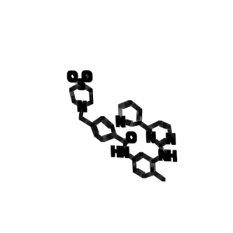 Cc1ccc(NC(=O)c2ccc(CN3CCS(=O)(=O)CC3)cc2)cc1Nc1nccc(-c2cccnc2)n1